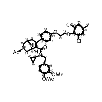 COc1ccc(CN(C(=O)C2=C(c3ccc(OCCOc4c(Cl)cc(C)cc4Cl)cc3)CC3CN(C(C)=O)C[C@H]2N3)C2CC2)cc1OC